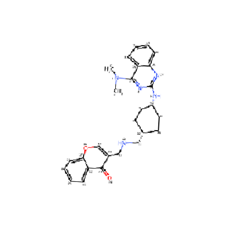 CN(C)c1nc(N[C@H]2CC[C@@H](CNCc3coc4ccccc4c3=O)CC2)nc2ccccc12